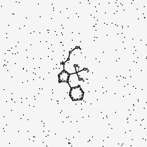 COONc1cnn(-c2ccccn2)c1C(C)(C)C